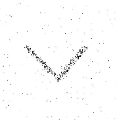 [Ag].[Co].[Cr].[Cu].[Fe].[Hf].[Ir].[La].[Mn].[Mo].[Nb].[Ni].[Pd].[Pr].[Re].[Rh].[Ru].[Sc].[Ta].[Tb].[V].[W].[Y].[Zn].[Zr]